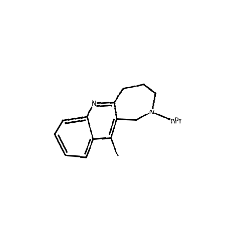 CCCN1CCCc2nc3ccccc3c(C)c2C1